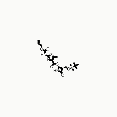 C=CCOC(=O)Nc1nc(C(=O)S[C@H]2NC(=O)[C@@H]2CO[Si](C)(C)C(C)(C)C)c(C)s1